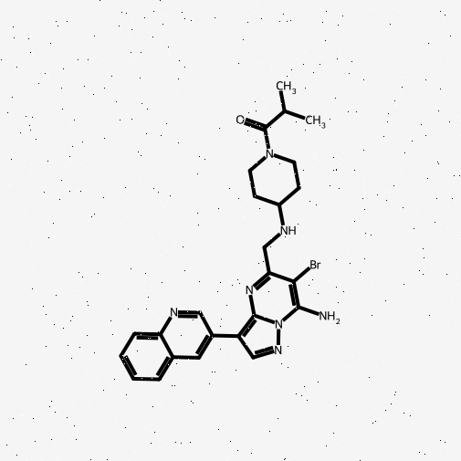 CC(C)C(=O)N1CCC(NCc2nc3c(-c4cnc5ccccc5c4)cnn3c(N)c2Br)CC1